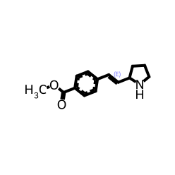 COC(=O)c1ccc(/C=C/C2CCCN2)cc1